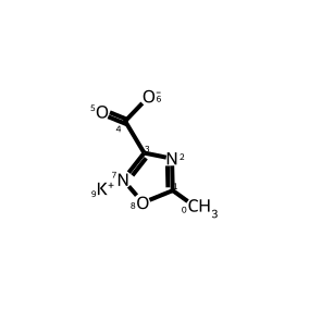 Cc1nc(C(=O)[O-])no1.[K+]